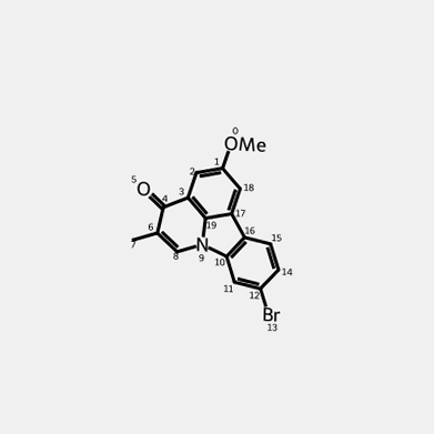 COc1cc2c(=O)c(C)cn3c4cc(Br)ccc4c(c1)c23